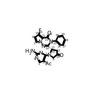 CC(=O)c1cnc(N)nc1N1CC(=O)C[C@H]1c1nn2ccc(F)c2c(=O)n1-c1ccccc1